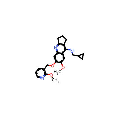 COc1cc2c(NCC3CC3)c3c(nc2cc1OCc1cccnc1OC)CCC3